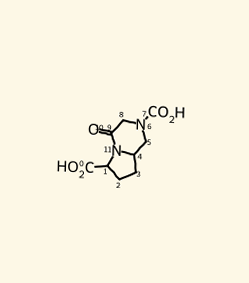 O=C(O)C1CCC2CN(C(=O)O)CC(=O)N21